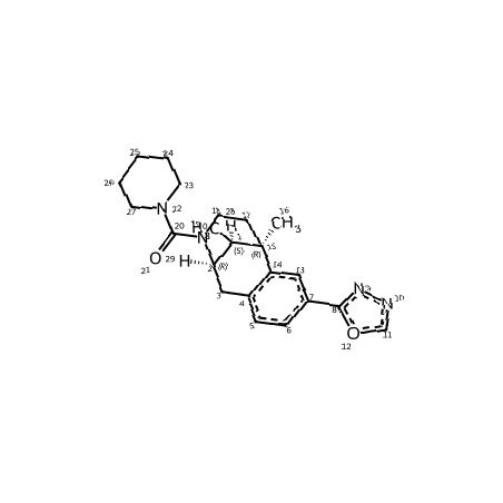 C[C@@H]1[C@H]2Cc3ccc(-c4nnco4)cc3[C@]1(C)CCN2C(=O)N1CCCCC1